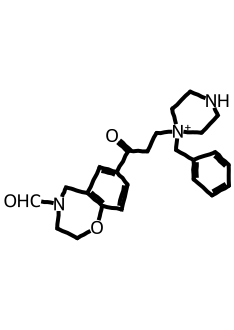 O=CN1CCOc2ccc(C(=O)CC[N+]3(Cc4ccccc4)CCNCC3)cc2C1